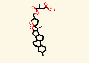 CC1CC[C@@]2(C)C(=CCC3C4CC5OC6(CCC(COC(=O)[C@@H](C)CC(=O)O)CO6)[C@@H](C)C5[C@@]4(C)CCC32)C1